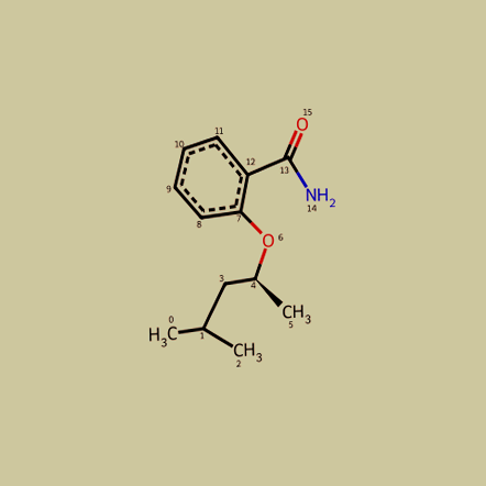 CC(C)C[C@H](C)Oc1ccccc1C(N)=O